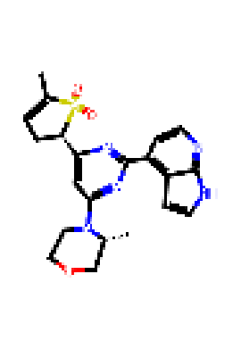 CC1=CC[C@H](c2cc(N3CCOC[C@H]3C)nc(-c3ccnc4[nH]ccc34)n2)S1(=O)=O